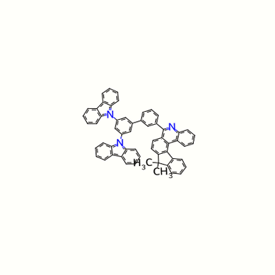 CC1(C)c2ccccc2-c2c1ccc1c(-c3cccc(-c4cc(-n5c6ccccc6c6ccccc65)cc(-n5c6ccccc6c6ccccc65)c4)c3)nc3ccccc3c21